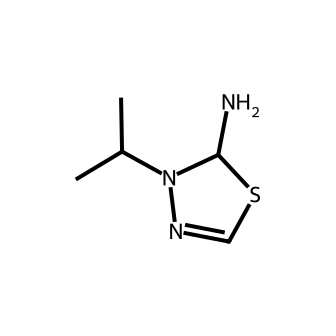 CC(C)N1N=CSC1N